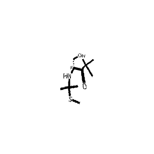 CSC(C)(C)N[C@H](CO)C(=O)C(C)(C)C